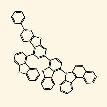 c1ccc(-c2ccc3c(c2)oc2nc(-c4ccc(-n5c6ccccc6c6c7ccccc7ccc65)c5c4oc4ccccc45)nc(-c4cccc5oc6ccccc6c45)c23)cc1